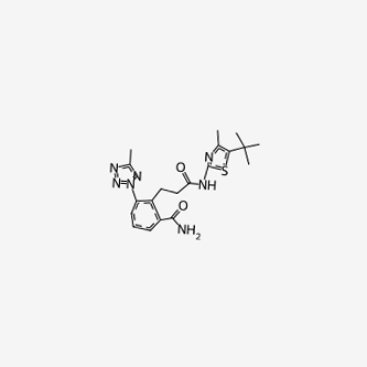 Cc1nnn(-c2cccc(C(N)=O)c2CCC(=O)Nc2nc(C)c(C(C)(C)C)s2)n1